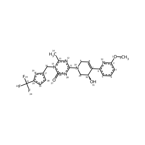 COc1cccc(C2=CCN(c3nc(C)n(Cc4ccc(C(F)(F)F)s4)c(=O)n3)C[C@@H]2O)n1